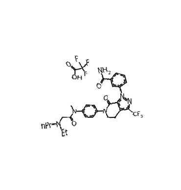 CCCN(CC)CC(=O)N(C)c1ccc(N2CCc3c(C(F)(F)F)nn(-c4cccc(C(N)=O)c4)c3C2=O)cc1.O=C(O)C(F)(F)F